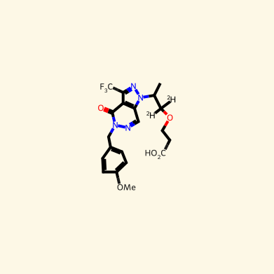 [2H]C([2H])(OCCC(=O)O)C(C)n1nc(C(F)(F)F)c2c(=O)n(Cc3ccc(OC)cc3)ncc21